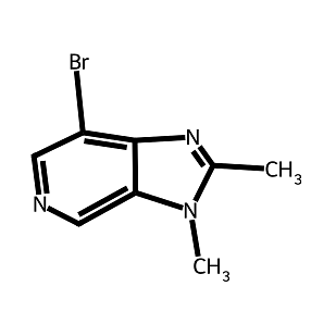 Cc1nc2c(Br)cncc2n1C